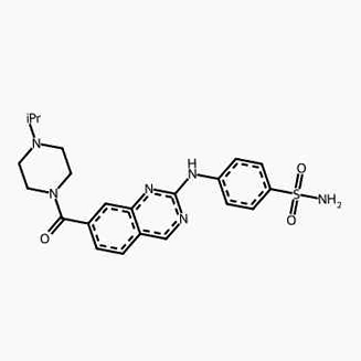 CC(C)N1CCN(C(=O)c2ccc3cnc(Nc4ccc(S(N)(=O)=O)cc4)nc3c2)CC1